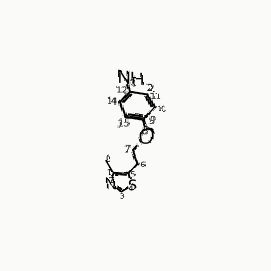 Cc1ncsc1CCOc1ccc(N)cc1